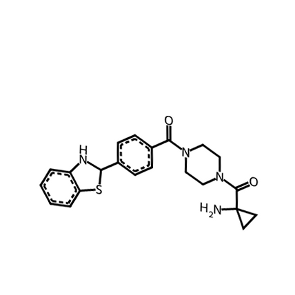 NC1(C(=O)N2CCN(C(=O)c3ccc(C4Nc5ccccc5S4)cc3)CC2)CC1